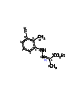 CCOC(=O)/C(C)=N\Nc1cccc(F)c1C